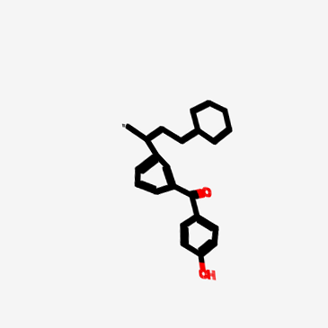 [CH2]C(CCC1CCCCC1)c1cccc(C(=O)c2ccc(O)cc2)c1